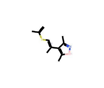 C=C(C)S/C=C(\C)C1=C(C)BN=C1C